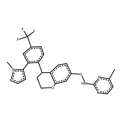 Cc1ccnc(NSc2ccc3c(c2)OCCC3c2ccc(C(F)(F)F)cc2-c2ccnn2C)n1